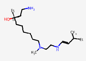 CCC(C=CNCCN(C)CCCCCC[C@@](O)(CC)CCN)C(F)(F)F